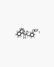 O=C(Cc1cccc(OC(F)(F)F)c1)Nc1nncc2ccccc12